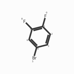 Fc1[c]cc(Br)cc1F